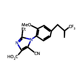 CCc1nc(C(=O)O)c(C#N)n1-c1ccc(CC(C)C(F)(F)F)cc1OC